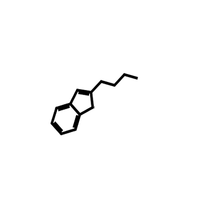 CCCCC1=Cc2ccccc2[C]1